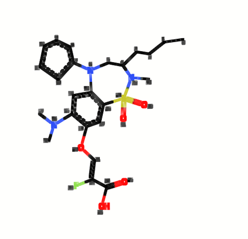 CCCCC1CN(c2ccccc2)c2cc(N(C)C)c(O/C=C(\F)C(=O)O)cc2S(=O)(=O)N1C